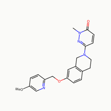 COc1ccc(COc2ccc3c(c2)CN(c2ccc(=O)n(C)n2)CC3)nc1